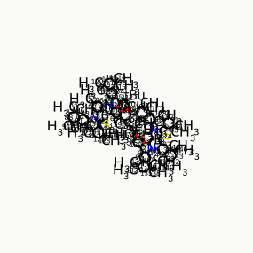 Cc1cc2c3c(c1)N(c1ccc4c(c1)C(C)(C)CCC4(C)C)c1c(sc4c1C(C)(C)CCC4(C)C)B3c1cc3c(cc1N2c1cc2c(cc1-c1ccc([Si](C)(C)CCC4(C)CCC(C)(C)c5cc6c(cc54)B4c5sc7c(c5N(c5ccc8c(c5)C(C)(C)CCC8(C)C)c5cc(C)cc(c54)N6c4cc5c(cc4-c4ccccc4C(C)(C)C)C(C)(C)CCC5(C)C)C(C)(C)CCC7(C)C)cc1)C(C)(C)CCC2(C)C)C(C)(C)CCC3(C)C